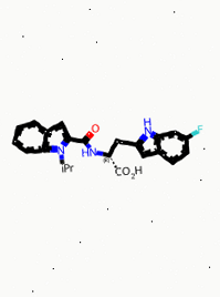 CC(C)n1c(C(=O)N[C@H](Cc2cc3ccc(F)cc3[nH]2)C(=O)O)cc2ccccc21